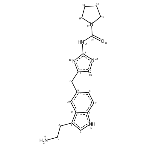 NCCc1c[nH]c2ccc(Cc3nc(NC(=O)N4CCCC4)no3)cc12